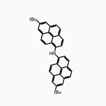 CC(C)(C)c1cc2ccc3ccc(Nc4ccc5ccc6cc(C(C)(C)C)cc7ccc4c5c67)c4ccc(c1)c2c34